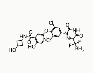 BC(F)(F)c1nn(-c2cc(Cl)c(Oc3cc(S(=O)(=O)N[C@H]4C[C@H](O)C4)c(O)cn3)c(Cl)c2)c(=O)[nH]c1=O